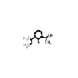 C=C[C](C)c1cccc(C(C)C)c1F